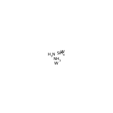 N.N.[SiH4].[W].[W]